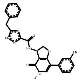 C[C@H]1C=C(c2cccc(C#N)c2)C2=C(C1=O)N(NC(=O)c1n[nH]c(Cc3ccccc3)n1)CO2